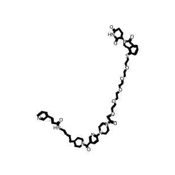 O=C(/C=C/c1cccnc1)NCCCCC1CCN(C(=O)c2ccc(N3CCN(C(=O)COCCOCCOCCOCCOCCSc4cccc5c4CN(C4CCC(=O)NC4=O)C5=O)CC3)nc2)CC1